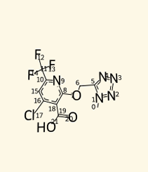 Cn1nnnc1COc1nc(C(F)(F)F)cc(Cl)c1C(=O)O